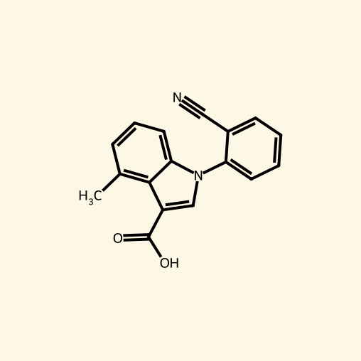 Cc1cccc2c1c(C(=O)O)cn2-c1ccccc1C#N